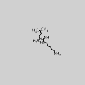 CC(C)=CCN(C)C(=N)NCCCCCN